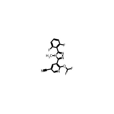 Cn1c(-c2cc(C#N)cnc2OC(F)F)nnc1-c1c(F)cccc1F